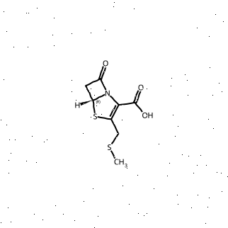 CSCC1=C(C(=O)O)N2C(=O)C[C@H]2S1